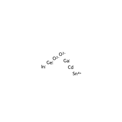 [Cd].[Ga].[Ge].[In].[O-2].[O-2].[Sn+4]